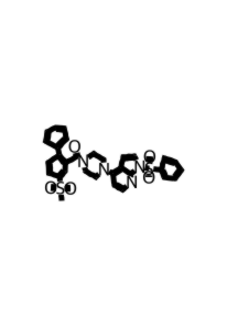 CS(=O)(=O)c1ccc(-c2ccccc2)c(C(=O)N2CCN(c3ccnc4c3ccn4S(=O)(=O)c3ccccc3)CC2)c1